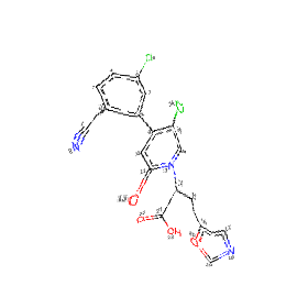 N#Cc1ccc(Cl)cc1-c1cc(=O)n(C(Cc2cnco2)C(=O)O)cc1Cl